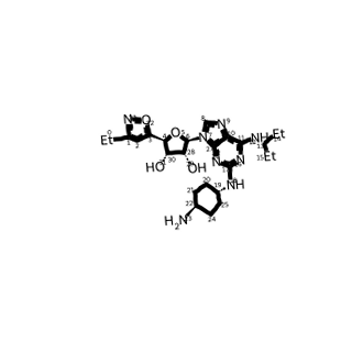 CCc1cc([C@H]2O[C@@H](n3cnc4c(NC(CC)CC)nc(N[C@H]5CC[C@H](N)CC5)nc43)[C@H](O)[C@@H]2O)on1